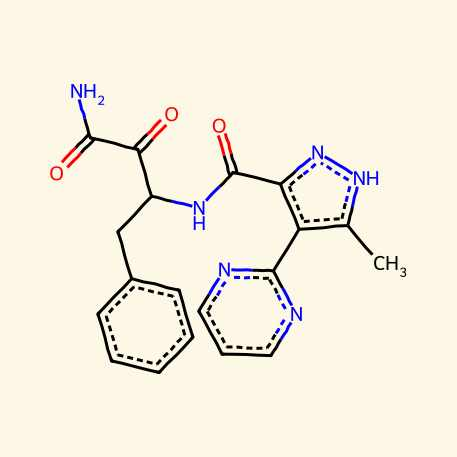 Cc1[nH]nc(C(=O)NC(Cc2ccccc2)C(=O)C(N)=O)c1-c1ncccn1